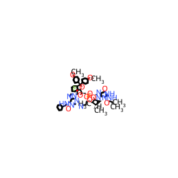 CC[C@@H]1[C@@H](C)[C@@H](OP(=O)(OCCC#N)OC[C@H]2O[C@@H](n3cnc4c(NC(=O)c5ccccc5)ncnc43)[C@H](F)[C@@H]2OC(c2ccccc2)(c2ccc(OC)cc2)c2ccc(OC)cc2)C2(n3cnc4c(=O)[nH]c(NC(=O)C(C)C)nc43)C[C@@H]12